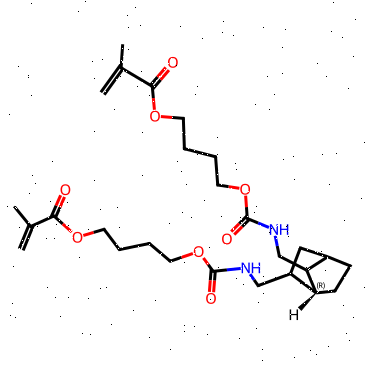 C=C(C)C(=O)OCCCCOC(=O)NCC1CC2CC[C@H]1C2CNC(=O)OCCCCOC(=O)C(=C)C